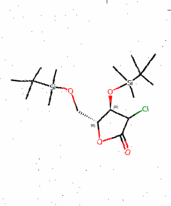 CC(C)(C)[Si](C)(C)OC[C@H]1OC(=O)C(Cl)[C@@H]1O[Si](C)(C)C(C)(C)C